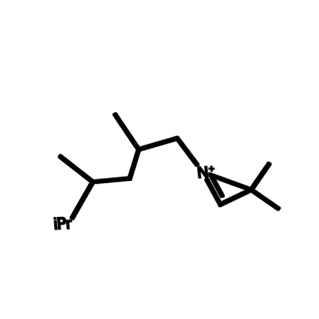 CC(CC(C)C(C)C)C[N+]1=CC1(C)C